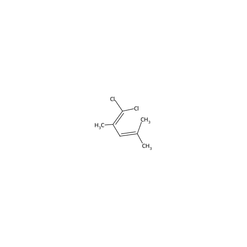 CC(C)=CC(C)=C(Cl)Cl